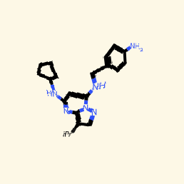 CC(C)c1cnn2c(NCc3ccc(N)cc3)cc(NC3CCCC3)nc12